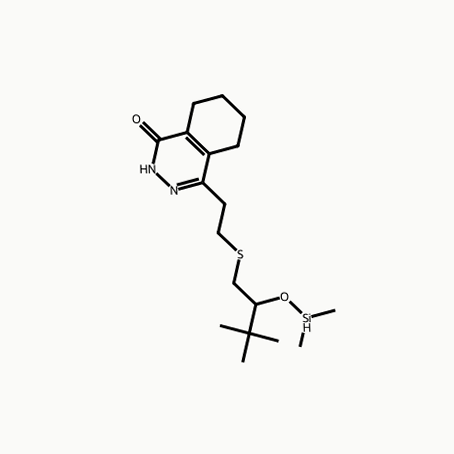 C[SiH](C)OC(CSCCc1n[nH]c(=O)c2c1CCCC2)C(C)(C)C